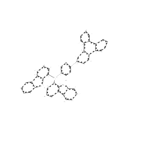 c1ccc2c(c1)oc1c(N(c3ccc(-c4ccc5c6ccccc6c6ccccc6c5c4)cc3)c3cccc4c3sc3ccccc34)cccc12